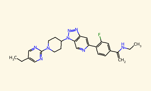 C=C(NCC)c1ccc(-c2cc3nnn(C4CCN(c5ncc(CC)cn5)CC4)c3cn2)c(F)c1